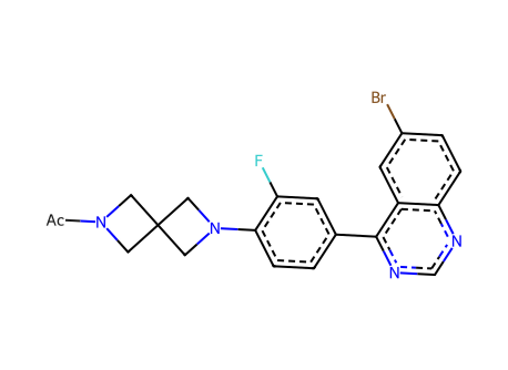 CC(=O)N1CC2(C1)CN(c1ccc(-c3ncnc4ccc(Br)cc34)cc1F)C2